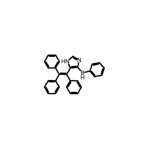 B(c1ccccc1)c1nc[nH]c1C(=C(c1ccccc1)c1ccccc1)c1ccccc1